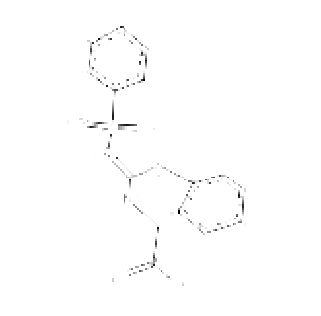 O=C(O)CNC(=NS(=O)(=O)c1ccccc1)Nc1ccccc1